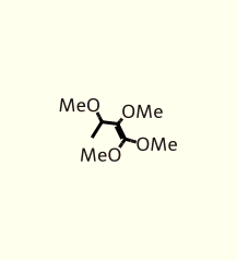 COC(OC)=C(OC)C(C)OC